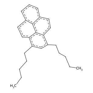 CCCCCc1cc(CCCCC)c2ccc3cccc4ccc1c2c43